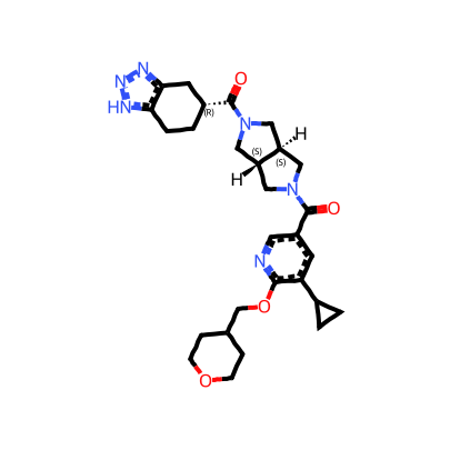 O=C(c1cnc(OCC2CCOCC2)c(C2CC2)c1)N1C[C@@H]2CN(C(=O)[C@@H]3CCc4[nH]nnc4C3)C[C@H]2C1